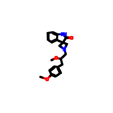 COc1ccc(CC(CN2CC3(C2)C(=O)Nc2ccccc23)OC)cc1